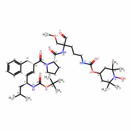 COCC(C=O)(CCCNC(=O)OC1CC(C)(C)N(O)C(C)(C)C1)NC(=O)[C@@H]1CCCN1C(=O)[C@H](/C=C/[C@H](CC(C)C)NC(=O)OC(C)(C)C)Cc1ccccc1